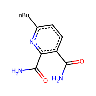 CCCCc1ccc(C(N)=O)c(C(N)=O)n1